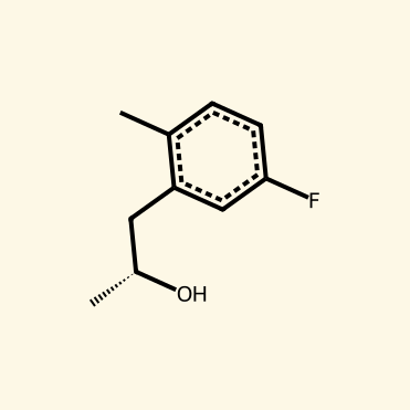 Cc1ccc(F)cc1C[C@@H](C)O